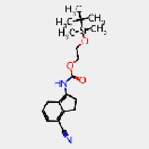 CC(C)(C)[Si](C)(C)OCCOC(=O)NC1=C2CC=CC(C#N)=C2CC1